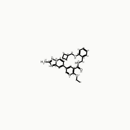 CCOc1ncc(-c2ccn3nc(N)nc3c2)cc1C(=O)NCc1ccccc1OCC1CCC1